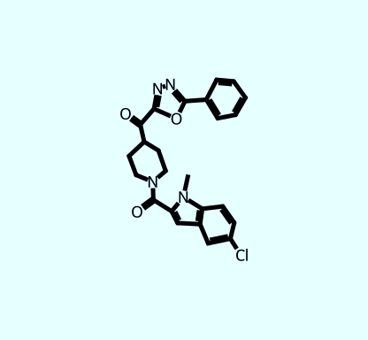 Cn1c(C(=O)N2CCC(C(=O)c3nnc(-c4ccccc4)o3)CC2)cc2cc(Cl)ccc21